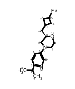 CC(C)c1ccc(N2CCO[C@H](CC3CC(F)C3)C2)cn1